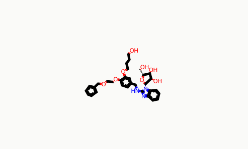 OCCCCOc1cc(CNc2nc3ccccc3n2[C@@H]2O[C@H](CO)[C@@H](O)[C@H]2O)ccc1OCCOCc1ccccc1